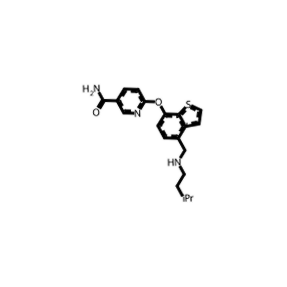 CC(C)CCNCc1ccc(Oc2ccc(C(N)=O)cn2)c2sccc12